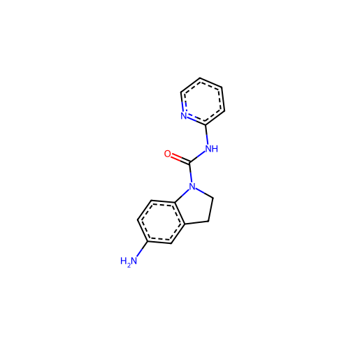 Nc1ccc2c(c1)CCN2C(=O)Nc1ccccn1